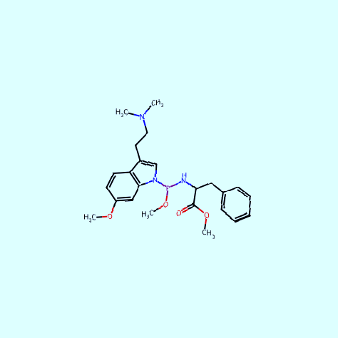 COC(=O)C(Cc1ccccc1)NP(OC)n1cc(CCN(C)C)c2ccc(OC)cc21